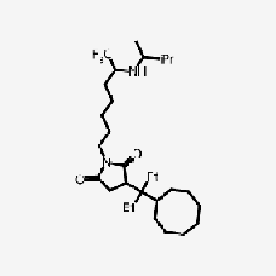 CCC(CC)(C1CCCCCCC1)C1CC(=O)N(CCCCCC(NC(C)C(C)C)C(F)(F)F)C1=O